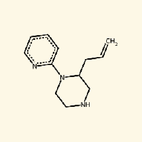 C=CCC1CNCCN1c1ccccn1